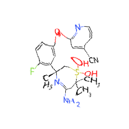 CC1(C)C(N)=N[C@](C)(c2cc(Oc3cc(C#N)ccn3)ccc2F)CS1(O)O